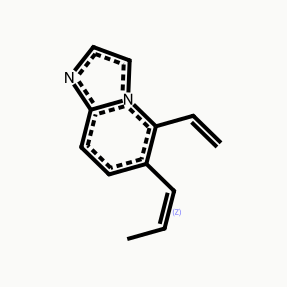 C=Cc1c(/C=C\C)ccc2nccn12